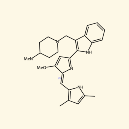 CNC1CCN(Cc2c(C3=N/C(=C\c4[nH]c(C)cc4C)C(OC)=C3)[nH]c3ccccc23)CC1